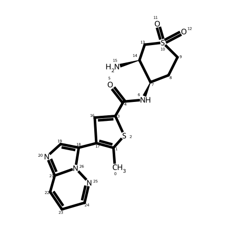 Cc1sc(C(=O)N[C@@H]2CCS(=O)(=O)C[C@@H]2N)cc1-c1cnc2cccnn12